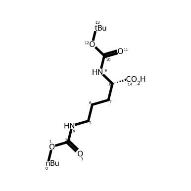 CCCCOC(=O)NCCC[C@H](NC(=O)OC(C)(C)C)C(=O)O